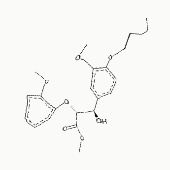 CCCCOc1ccc([C@@H](O)[C@@H](Oc2ccccc2OC)C(=O)OC)cc1OC